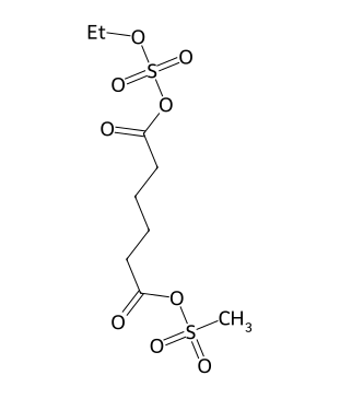 CCOS(=O)(=O)OC(=O)CCCCC(=O)OS(C)(=O)=O